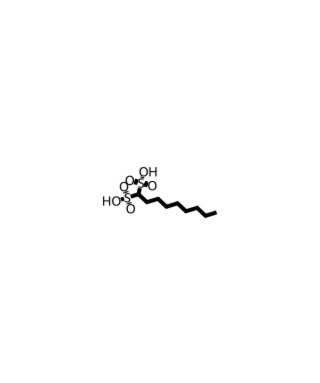 CCCCCCCCC(S(=O)(=O)O)S(=O)(=O)O